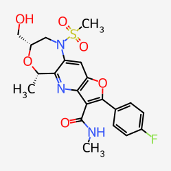 CNC(=O)c1c(-c2ccc(F)cc2)oc2cc3c(nc12)[C@H](C)O[C@H](CO)CN3S(C)(=O)=O